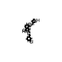 O=c1[nH]c(COCc2cccc(Cl)c2)nc2c(CNC[C@H]3CCNC3)nccc12